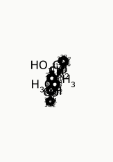 C=C1CCC2[C@]3(C)CO[C@@H](C4CCCC4)O[C@@H]3CC[C@@]2(C)[C@@H]1CCOc1ccccc1C(=O)O